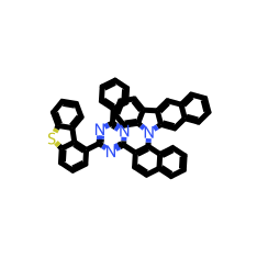 c1ccc(-c2nc(-c3ccc4ccccc4c3-n3c4ccccc4c4cc5ccccc5cc43)nc(-c3cccc4sc5ccccc5c34)n2)cc1